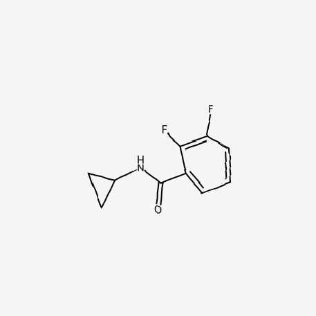 O=C(NC1CC1)c1cccc(F)c1F